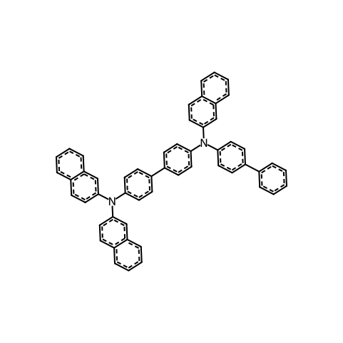 c1ccc(-c2ccc(N(c3ccc(-c4ccc(N(c5ccc6ccccc6c5)c5ccc6ccccc6c5)cc4)cc3)c3ccc4ccccc4c3)cc2)cc1